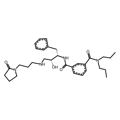 CCCN(CCC)C(=O)c1cccc(C(=O)N[C@@H](Cc2ccccc2)[C@H](O)CNCCCN2CCCC2=O)c1